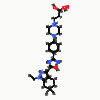 CCn1nc(-c2nc(-c3ccc(N4CCN(CCC(=O)O)CC4)cc3)no2)c2c1CC(C)(C)CC2